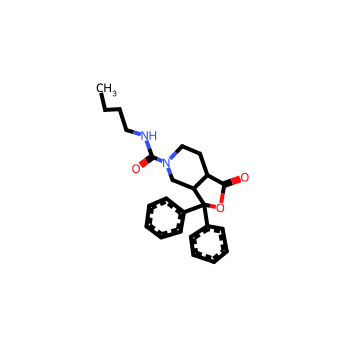 CCCCNC(=O)N1CCC2C(=O)OC(c3ccccc3)(c3ccccc3)C2C1